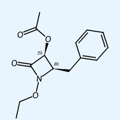 CCON1C(=O)[C@@H](OC(C)=O)[C@H]1Cc1ccccc1